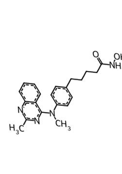 Cc1nc(N(C)c2ccc(CCCCC(=O)NO)cc2)c2ccccc2n1